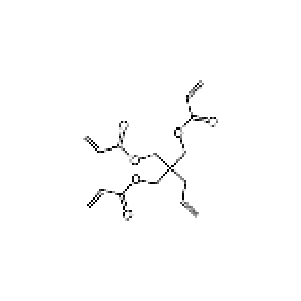 C=CCC(COC(=O)C=C)(COC(=O)C=C)COC(=O)C=C